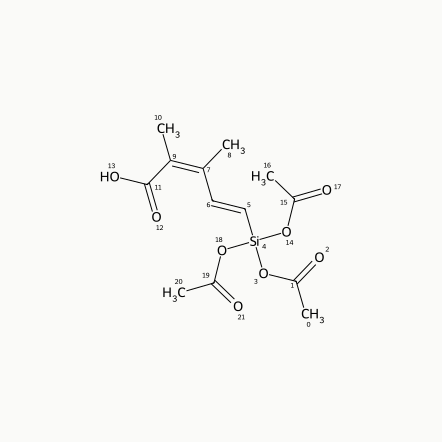 CC(=O)O[Si](C=CC(C)=C(C)C(=O)O)(OC(C)=O)OC(C)=O